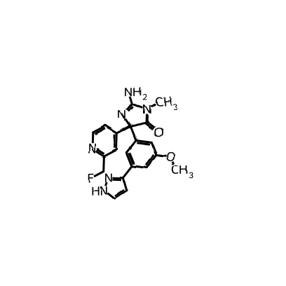 COc1cc(-c2cc[nH]n2)cc(C2(c3ccnc(CF)c3)N=C(N)N(C)C2=O)c1